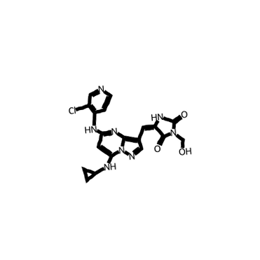 O=C1NC(=Cc2cnn3c(NC4CC4)cc(Nc4ccncc4Cl)nc23)C(=O)N1CO